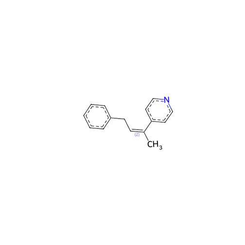 C/C(=C/Cc1ccccc1)c1ccncc1